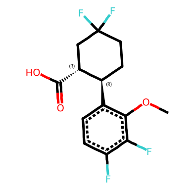 COc1c([C@@H]2CCC(F)(F)C[C@H]2C(=O)O)ccc(F)c1F